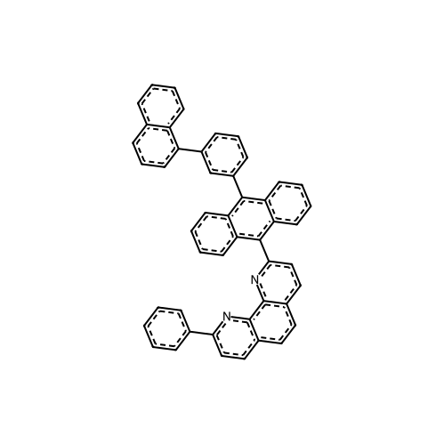 c1ccc(-c2ccc3ccc4ccc(-c5c6ccccc6c(-c6cccc(-c7cccc8ccccc78)c6)c6ccccc56)nc4c3n2)cc1